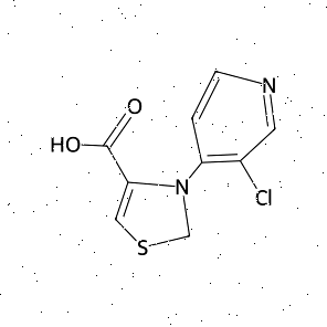 O=C(O)C1=CSCN1c1ccncc1Cl